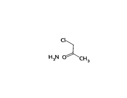 CC(=O)CCl.N